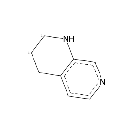 [C]1[C]Nc2cnccc2C1